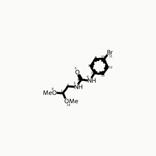 COC(CNC(=O)Nc1ccc(Br)cc1)OC